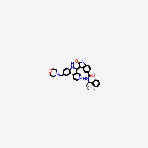 CC[C@@H](NC(=O)c1ccc2c(c1)/C(=C(/Nc1ccc(CN3CCOCC3)cc1)c1cccnc1)C(=O)N2)c1ccccc1